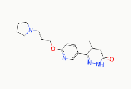 CC1CC(=O)NN=C1c1ccc(OCCCN2CCCC2)nc1